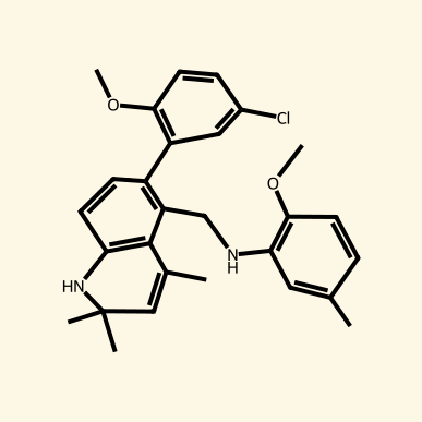 COc1ccc(C)cc1NCc1c(-c2cc(Cl)ccc2OC)ccc2c1C(C)=CC(C)(C)N2